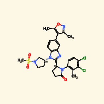 Cc1noc(C)c1-c1ccc2c(c1)nc([C@@H]1CCC(=O)N1c1ccc(Cl)c(Cl)c1C)n2[C@@H]1CCN(S(C)(=O)=O)C1